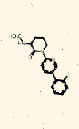 O=C(O)NC1CCCN(c2ccc(-c3ccccc3F)cn2)C1=O